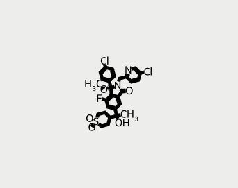 CO[C@]1(c2ccc(Cl)cc2)c2c(F)cc(C(C)(O)C3CCS(=O)(=O)CC3)cc2C(=O)N1Cc1ccc(Cl)cn1